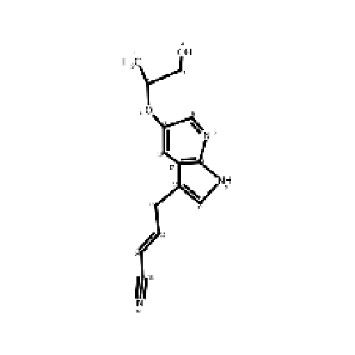 CC(CO)Oc1cnc2[nH]cc(CC=CC#N)c2c1